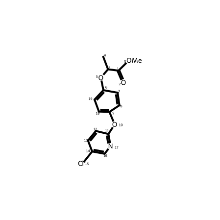 COC(=O)C(C)Oc1ccc(Oc2ccc(Cl)cn2)cc1